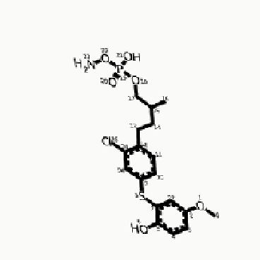 COc1ccc(O)c(Sc2ccc(CCC(C)COP(=O)(O)ON)c(Cl)c2)c1